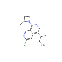 CC(CC#N)c1cnc(N2CCC2C)c2cnc(Cl)cc12